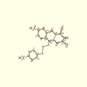 Cc1ccc(CCCn2c3nc(=O)[nH]c(=O)c-3nc3cc(C)ccc32)cc1